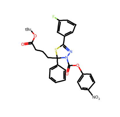 CC(C)(C)OC(=O)CCCC1(c2ccccc2)SC(c2cccc(F)c2)=NN1C(=O)Oc1ccc([N+](=O)[O-])cc1